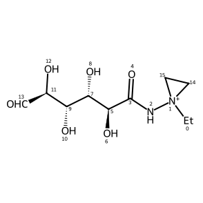 [CH2]C[N+]1(NC(=O)[C@@H](O)[C@@H](O)[C@H](O)[C@H](O)C=O)CC1